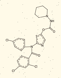 O=C(NN1CCCCC1)Oc1cnc(N(C(=O)c2ccc(Cl)cc2Cl)c2ccc(Cl)cc2)s1